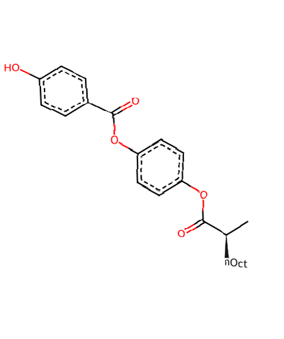 CCCCCCCC[C@H](C)C(=O)Oc1ccc(OC(=O)c2ccc(O)cc2)cc1